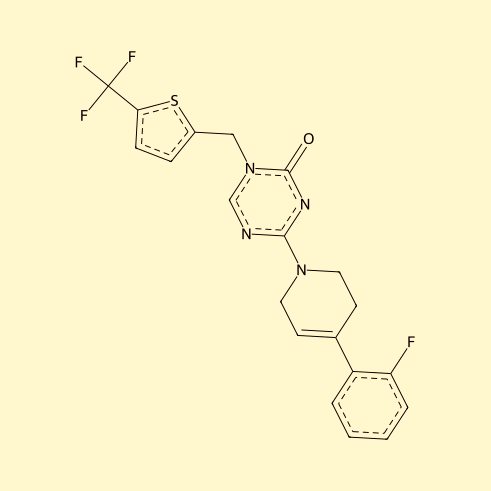 O=c1nc(N2CC=C(c3ccccc3F)CC2)ncn1Cc1ccc(C(F)(F)F)s1